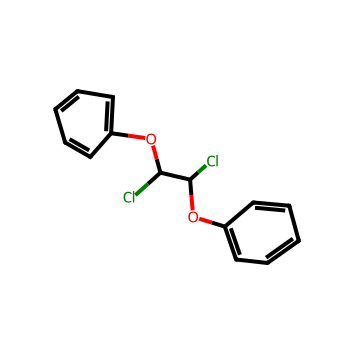 ClC(Oc1ccccc1)C(Cl)Oc1ccccc1